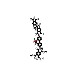 CCOC(=O)c1cc(C(=O)Nc2ccc(-c3ccc(N4C(=O)c5ccc(C(c6ccc7c(c6)C(=O)N(C)C7=O)(C(F)(F)F)C(F)(F)F)cc5C4=O)cc3C(F)(F)F)c(C(F)(F)F)c2)c(C(=O)OCC)cc1C(=O)NC